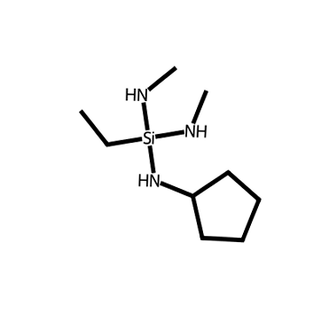 CC[Si](NC)(NC)NC1CCCC1